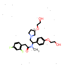 CN(C(=O)Cc1ccc(F)cc1F)C(CN1CC[C@H](OCCO)C1)c1ccc(OCCO)cc1